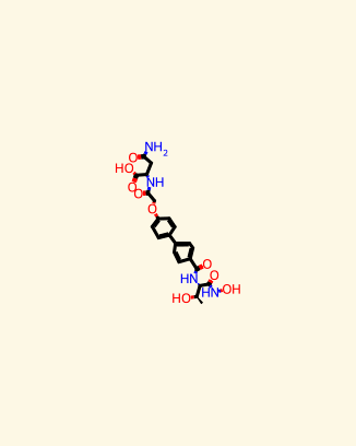 C[C@@H](O)[C@H](NC(=O)c1ccc(-c2ccc(OCC(=O)NC(CC(N)=O)C(=O)O)cc2)cc1)C(=O)NO